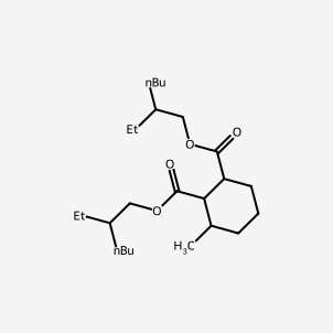 CCCCC(CC)COC(=O)C1CCCC(C)C1C(=O)OCC(CC)CCCC